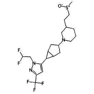 C[S+]([O-])CCC1CCCN(C2CC3C(C2)C3c2cc(C(F)(F)F)nn2CC(F)F)C1